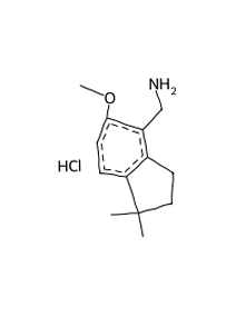 COc1ccc2c(c1CN)CCC2(C)C.Cl